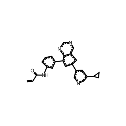 C=CC(=O)Nc1cccc(-c2cc(-c3cncc(C4CC4)c3)cc3cncnc23)c1